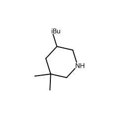 CCC(C)C1CNCC(C)(C)C1